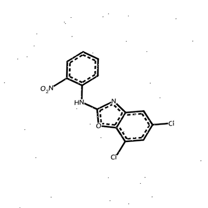 O=[N+]([O-])c1ccccc1Nc1nc2cc(Cl)cc(Cl)c2o1